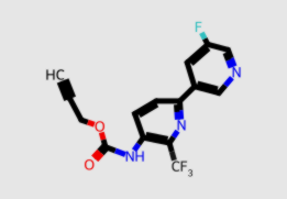 C#CCOC(=O)Nc1ccc(-c2cncc(F)c2)nc1C(F)(F)F